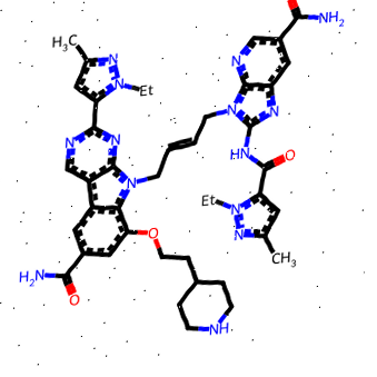 CCn1nc(C)cc1C(=O)Nc1nc2cc(C(N)=O)cnc2n1C/C=C/Cn1c2nc(-c3cc(C)nn3CC)ncc2c2cc(C(N)=O)cc(OCCC3CCNCC3)c21